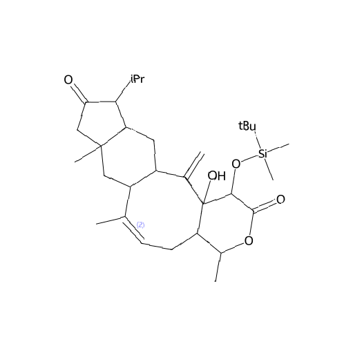 C=C1C2CC3C(C(C)C)C(=O)CC3(C)CC2/C(C)=C\CC2C(C)OC(=O)C(O[Si](C)(C)C(C)(C)C)C12O